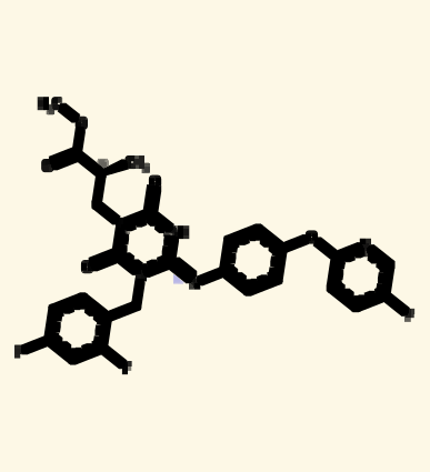 COC(=O)[C@@H](C)Cn1c(=O)[nH]/c(=N\c2ccc(Oc3ccc(F)cn3)cc2)n(Cc2ccc(F)cc2F)c1=O